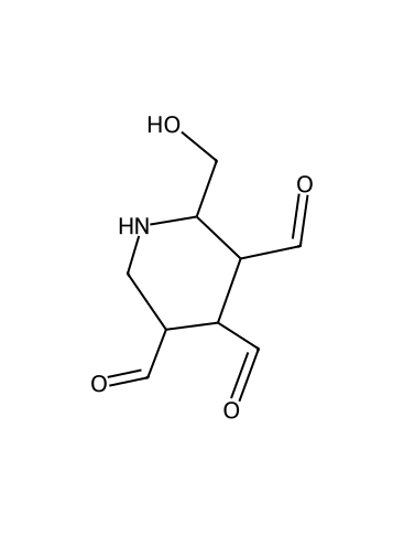 O=CC1CNC(CO)C(C=O)C1C=O